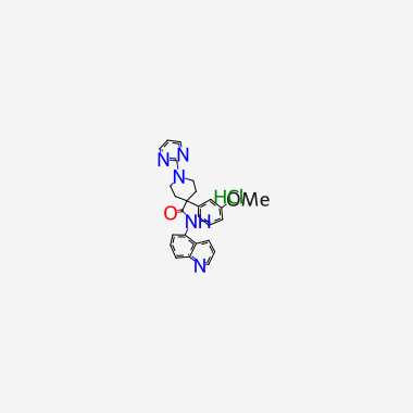 COc1cccc(C2(C(=O)Nc3cccc4ncccc34)CCN(c3ncccn3)CC2)c1.Cl